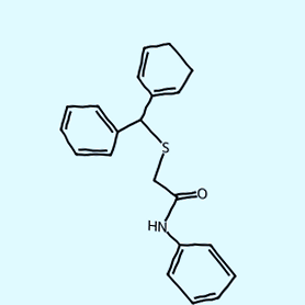 O=C(CSC(C1=CCCC=C1)c1ccccc1)Nc1ccccc1